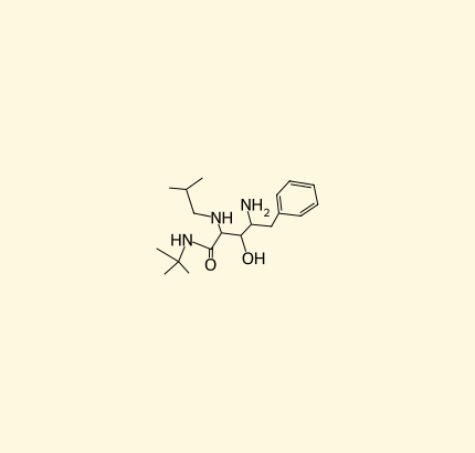 CC(C)CNC(C(=O)NC(C)(C)C)C(O)C(N)Cc1ccccc1